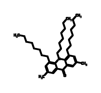 CCCCCCCCc1cc(C)cc2c(=O)c3cc(C)cc(CCCCCCCC)c3n(CCCCCCCC)c12